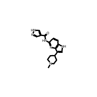 CN1CCC(c2c[nH]c3ccc(NC(=O)c4cn[nH]c4)nc23)CC1